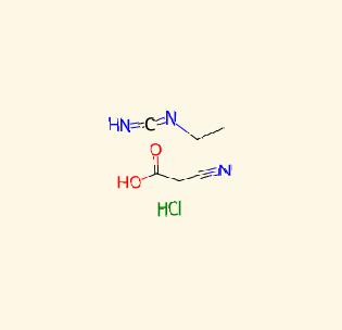 CCN=C=N.Cl.N#CCC(=O)O